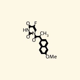 COc1ccc2cc([C@H](C)C(=O)n3cc(F)c(=O)[nH]c3=O)ccc2c1